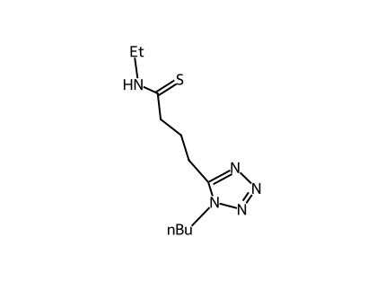 CCCCn1nnnc1CCCC(=S)NCC